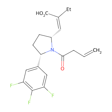 C=CCC(=O)N1[C@@H](C=C(CC)C(=O)O)CC[C@H]1c1cc(F)c(F)c(F)c1